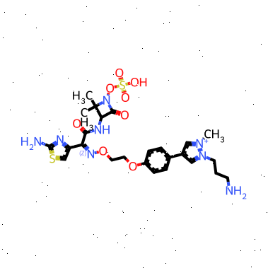 C[n+]1cc(-c2ccc(OCCO/N=C(\C(=O)NC3C(=O)N(OS(=O)(=O)O)C3(C)C)c3csc(N)n3)cc2)cn1CCCN